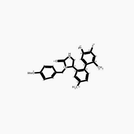 COc1ccc(CN2C(=O)NCC2c2cc(C)ccc2-c2cc(C(C)C)c(F)cc2C)cc1